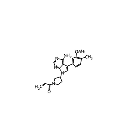 C=CC(=O)N1CC[C@@H](n2cc(-c3ccc(C)c(OC)c3)c3c(N)ncnc32)C1